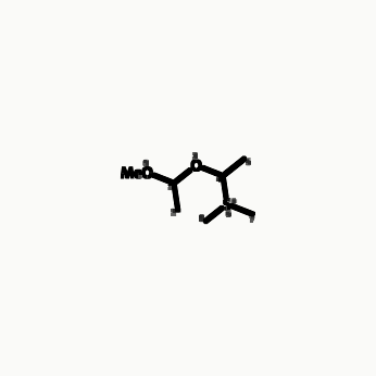 COC(C)OC(C)[S+](C)C